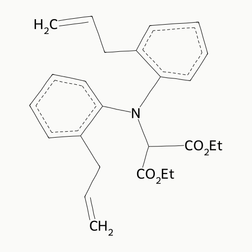 C=CCc1ccccc1N(c1ccccc1CC=C)C(C(=O)OCC)C(=O)OCC